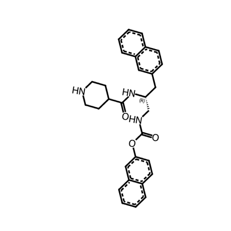 O=C(NC[C@@H](Cc1ccc2ccccc2c1)NC(=O)C1CCNCC1)Oc1ccc2ccccc2c1